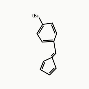 CC(C)(C)c1ccc(C=C2C=CC=C2)cc1